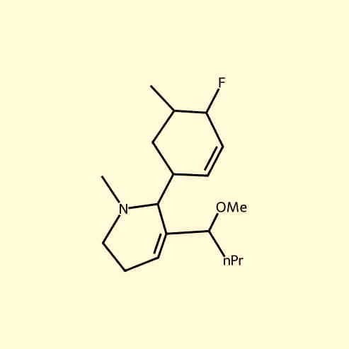 CCCC(OC)C1=CCCN(C)C1C1C=CC(F)C(C)C1